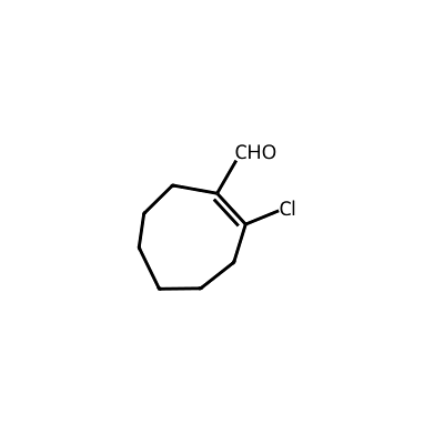 O=CC1=C(Cl)CCCCCC1